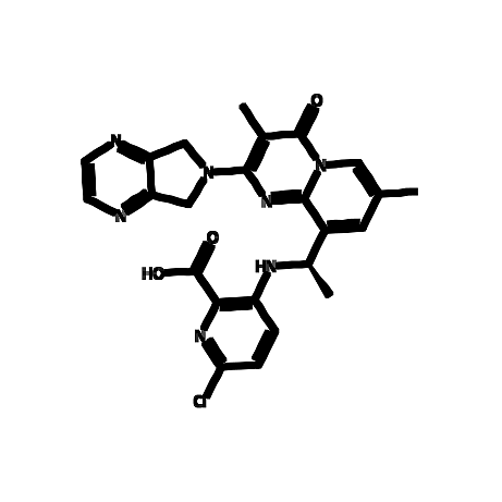 Cc1cc([C@@H](C)Nc2ccc(Cl)nc2C(=O)O)c2nc(N3Cc4nccnc4C3)c(C)c(=O)n2c1